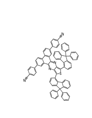 N#Cc1ccc(-c2ccc3c4ccc(-c5ccc(C#N)cc5)cc4c4nc5c(-c6cccc7c6-c6ccccc6C7(c6ccccc6)c6ccccc6)sc(-c6cccc7c6-c6ccccc6C7(c6ccccc6)c6ccccc6)c5nc4c3c2)cc1